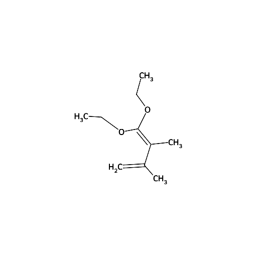 C=C(C)C(C)=C(OCC)OCC